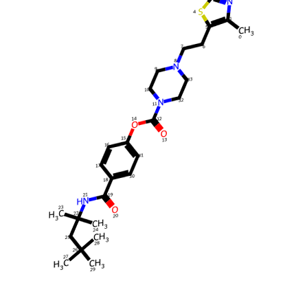 Cc1ncsc1CCN1CCN(C(=O)Oc2ccc(C(=O)NC(C)(C)CC(C)(C)C)cc2)CC1